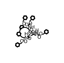 O=C(NC[C@H](O)C[C@@H]1NC(=O)[C@@H](NC(=O)OCc2ccccc2)Cc2cc(ccc2OCc2ccccc2)-c2cccc(c2)C[C@@H](C(=O)OCc2ccccc2)NC1=O)OCc1ccccc1